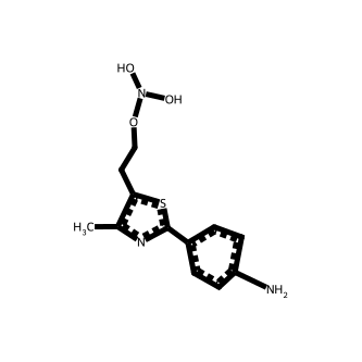 Cc1nc(-c2ccc(N)cc2)sc1CCON(O)O